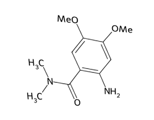 COc1cc(N)c(C(=O)N(C)C)cc1OC